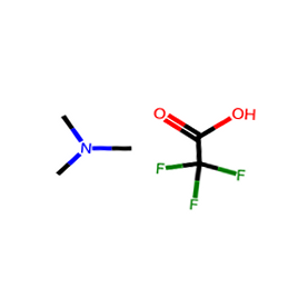 CN(C)C.O=C(O)C(F)(F)F